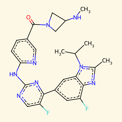 CNC1CN(C(=O)c2ccc(Nc3ncc(F)c(-c4cc(F)c5nc(C)n(C(C)C)c5c4)n3)nc2)C1